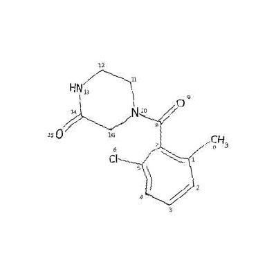 Cc1cccc(Cl)c1C(=O)N1CCNC(=O)C1